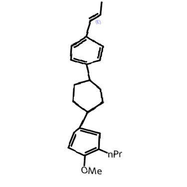 C/C=C/c1ccc(C2CCC(c3ccc(OC)c(CCC)c3)CC2)cc1